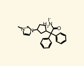 C[n+]1ccn(C2CCC(C(C(N)=O)(c3ccccc3)c3ccccc3)C2)c1.[I-]